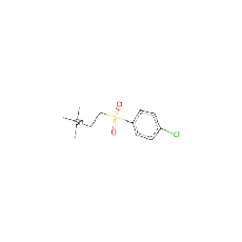 [CH3][Sn]([CH3])([CH3])[CH2]CS(=O)(=O)c1ccc(Cl)cc1